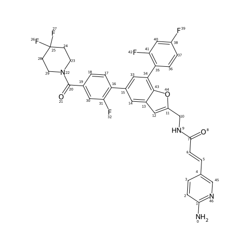 Nc1ccc(C=CC(=O)NCc2cc3cc(-c4ccc(C(=O)N5CCC(F)(F)CC5)cc4F)cc(-c4ccc(F)cc4F)c3o2)cn1